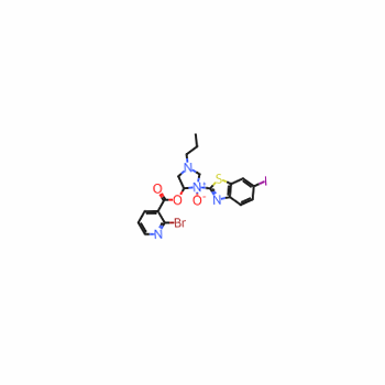 CCCN1CC(OC(=O)c2cccnc2Br)[N+]([O-])(c2nc3ccc(I)cc3s2)C1